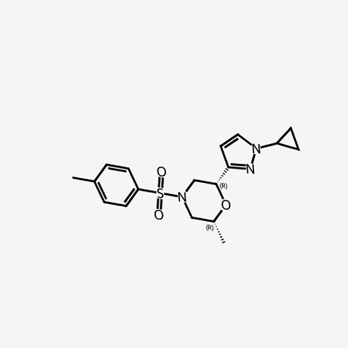 Cc1ccc(S(=O)(=O)N2C[C@@H](C)O[C@@H](c3ccn(C4CC4)n3)C2)cc1